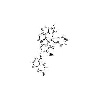 Cc1nn(C)c(C)c1-c1c(F)ccc2c(CCCOc3cccc4cc(F)ccc34)c(C(=O)OC(C)(C)C)n(CCN3CCNCC3)c12